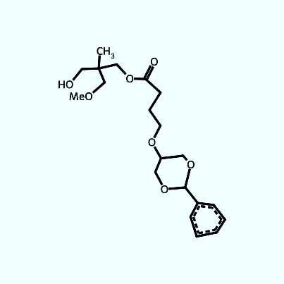 COCC(C)(CO)COC(=O)CCCOC1COC(c2ccccc2)OC1